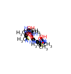 Cc1ncsc1-c1ccc([C@H](C)NC(=O)[C@@H]2C[C@@H](O)CN2C(=O)[C@@H](NC(=O)COc2ccc(Nc3ccc(C4=N[C@@H](CC(=O)O)c5nnc(C)n5-c5sc(C)c(C)c54)cc3)cc2)C(C)(C)C)cc1